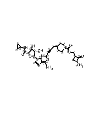 CN1CC(COC(=O)N2CCC(CC#Cc3nc(N)c4ncn([C@@H]5O[C@H](C(=O)NC6CC6)C(O)[C@@H]5O)c4n3)CC2)C1=O